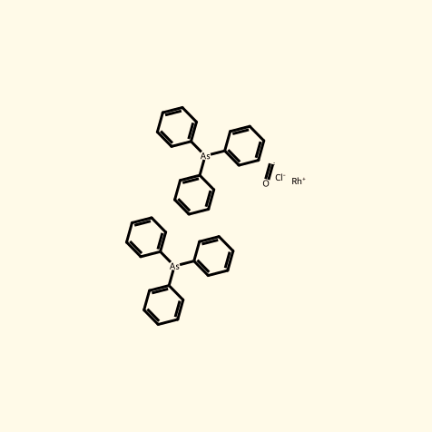 [C]=O.[Cl-].[Rh+].c1ccc([As](c2ccccc2)c2ccccc2)cc1.c1ccc([As](c2ccccc2)c2ccccc2)cc1